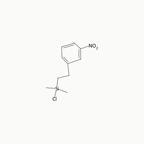 C[Si](C)(Cl)CCc1cccc([N+](=O)[O-])c1